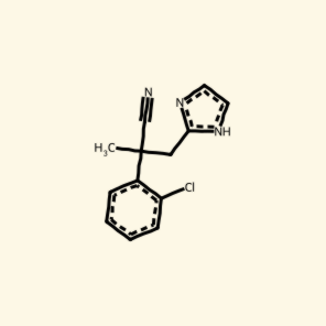 CC(C#N)(Cc1ncc[nH]1)c1ccccc1Cl